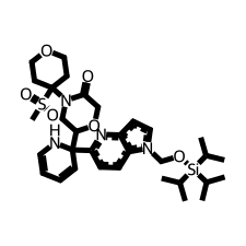 CC(C)[Si](OCn1ccc2nc(C3(C4CN(C5(S(C)(=O)=O)CCOCC5)C(=O)CO4)C=CC=CN3)ccc21)(C(C)C)C(C)C